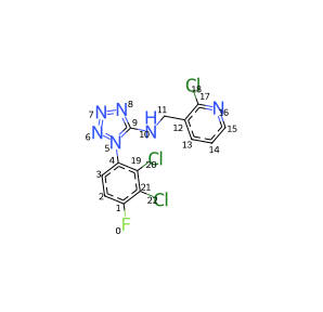 Fc1ccc(-n2nnnc2NCc2cccnc2Cl)c(Cl)c1Cl